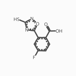 O=C(O)c1ccc(F)cc1-c1nc(S)no1